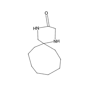 O=C1CNC2(CCCCCCCC2)CN1